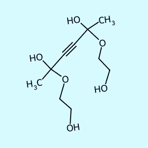 CC(O)(C#CC(C)(O)OCCO)OCCO